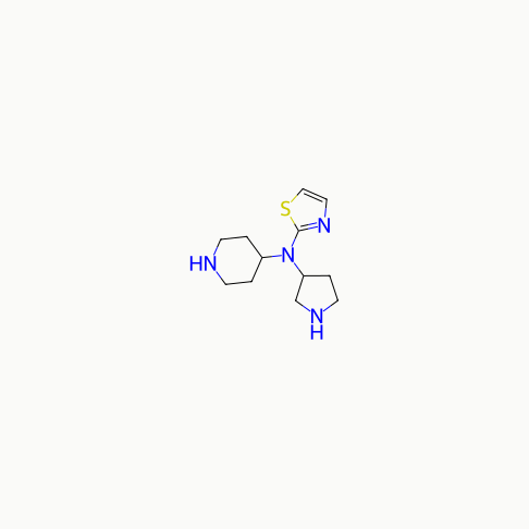 c1csc(N(C2CCNCC2)C2CCNC2)n1